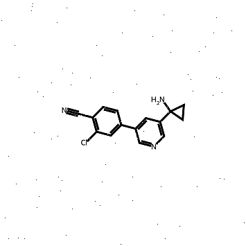 N#Cc1ccc(-c2cncc(C3(N)CC3)c2)cc1Cl